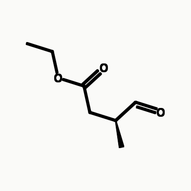 CCOC(=O)C[C@H](C)C=O